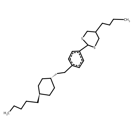 CCCCC[C@H]1CC[C@H](CCc2ccc(C3SCC(CCCC)CS3)cc2)CC1